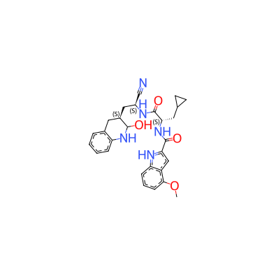 COc1cccc2[nH]c(C(=O)N[C@@H](CC3CC3)C(=O)N[C@H](C#N)C[C@@H]3Cc4ccccc4NC3O)cc12